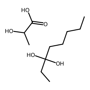 CC(O)C(=O)O.CCCCCC(O)(O)CC